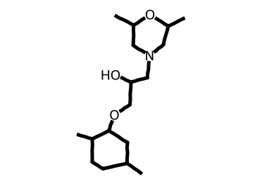 CC1CCC(C)C(OCC(O)CN2CC(C)OC(C)C2)C1